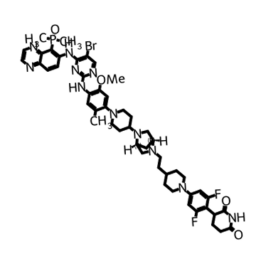 COc1cc(N2CCC(N3C[C@H]4C[C@@H]3CN4CCC3CCN(c4cc(F)c(C5CCC(=O)NC5=O)c(F)c4)CC3)CC2)c(C)cc1Nc1ncc(Br)c(Nc2ccc3nccnc3c2P(C)(C)=O)n1